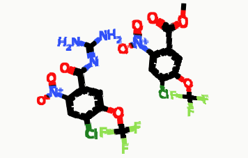 COC(=O)c1cc(OC(F)(F)F)c(Cl)cc1[N+](=O)[O-].NC(N)=NC(=O)c1cc(OC(F)(F)F)c(Cl)cc1[N+](=O)[O-]